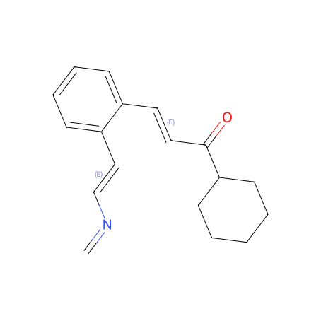 C=N/C=C/c1ccccc1/C=C/C(=O)C1CCCCC1